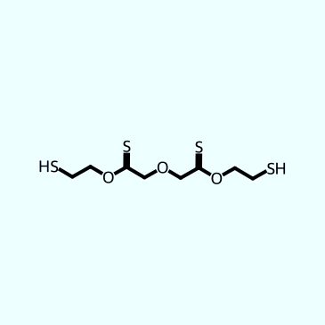 S=C(COCC(=S)OCCS)OCCS